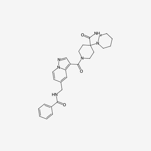 NC(=O)C1(N2CCCCC2)CCN(C(=O)c2cnn3ccc(CNC(=O)c4ccccc4)cc23)CC1